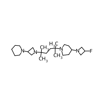 CC(C)(CCC(C)(C)N1CC(N2CCCCC2)C1)N1CCC(N2CC(F)C2)CC1